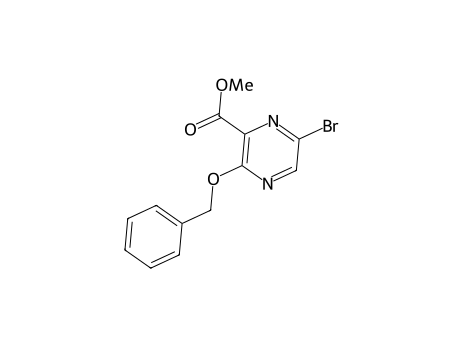 COC(=O)c1nc(Br)cnc1OCc1ccccc1